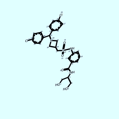 O=C(NC(CO)CO)c1cccc(NS(=O)(=O)CC2CN(C(c3ccc(Cl)cc3)c3ccc(Cl)cc3)C2)c1